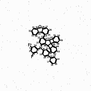 Fc1cc(F)cc(N(c2ccc(-c3ccccc3)cc2)c2ccc(-c3cccc4oc5ccccc5c34)c3c2C2c4ccccc4C24c2ccccc2C34)c1